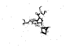 CCN(CC)C(=O)c1ccc(Cl)c(S(C)(=O)=O)c1NC(C)CCN(C)C.c1cc2cc-2c1